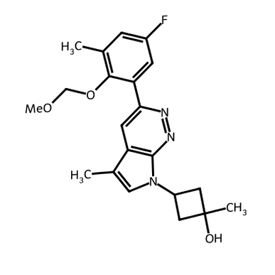 COCOc1c(C)cc(F)cc1-c1cc2c(C)cn(C3CC(C)(O)C3)c2nn1